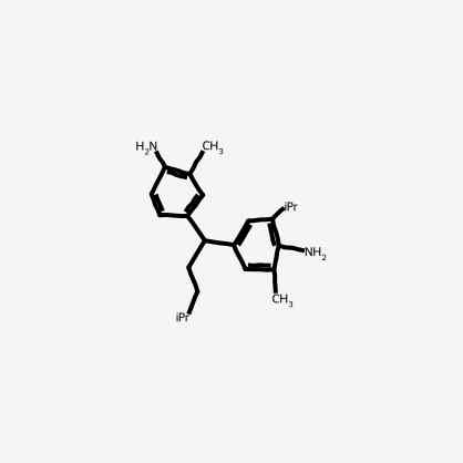 Cc1cc(C(CCC(C)C)c2cc(C)c(N)c(C(C)C)c2)ccc1N